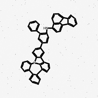 c1ccc(-c2cc(-c3ccc4c(c3)c3cccc5c3n4-c3ccccc3-c3ccccc3-5)ccc2Nc2ccc3c4c(cccc24)-c2ccccc2-3)cc1